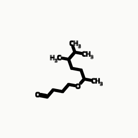 CC(CCC(C)C(C)C)OCCCC=O